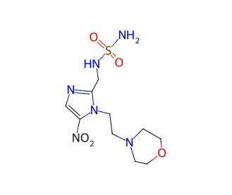 NS(=O)(=O)NCc1ncc([N+](=O)[O-])n1CCN1CCOCC1